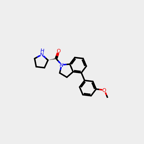 COc1cccc(-c2cccc3c2CCN3C(=O)[C@@H]2CCCN2)c1